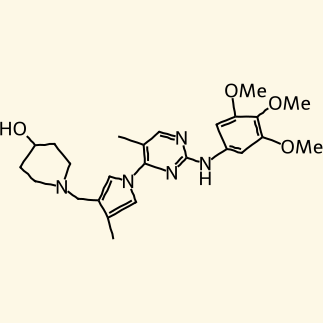 COc1cc(Nc2ncc(C)c(-n3cc(C)c(CN4CCC(O)CC4)c3)n2)cc(OC)c1OC